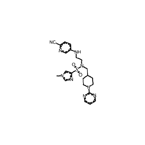 Cn1cnc(S(=O)(=O)N(CCNc2ccc(C#N)nc2)CC2CCN(c3ncccn3)CC2)c1